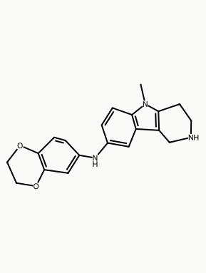 Cn1c2c(c3cc(Nc4ccc5c(c4)OCCO5)ccc31)CNCC2